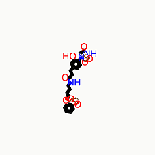 CS(=O)(=O)c1ccccc1OCCCCNC(=O)CCc1ccc(N2CC(=O)NS2(=O)=O)c(O)c1